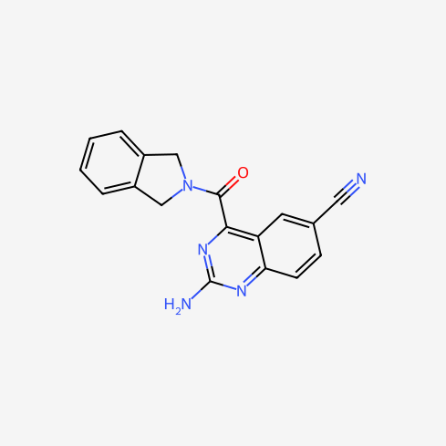 N#Cc1ccc2nc(N)nc(C(=O)N3Cc4ccccc4C3)c2c1